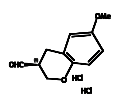 COc1ccc2c(c1)C[C@H](C=O)CO2.Cl.Cl